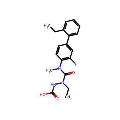 CCc1ccccc1-c1ccc(N(C)C(=O)N(CC)NC(=O)O)c(F)c1